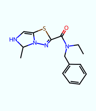 CCN(Cc1ccccc1)C(=O)C1=NN2C(=CNC2C)S1